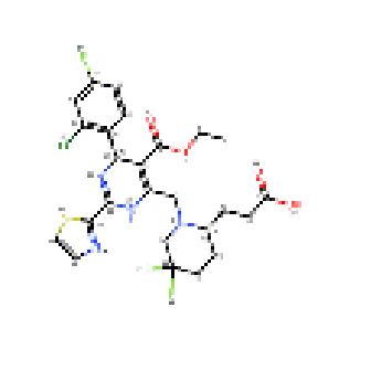 CCOC(=O)C1=C(CN2CC(F)(F)CC[C@@H]2CCC(=O)O)NC(c2nccs2)=N[C@H]1c1ccc(F)cc1Cl